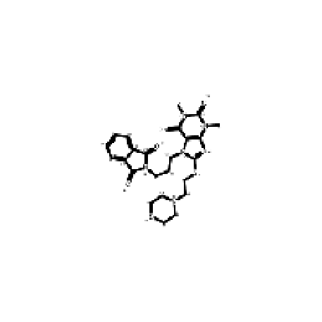 Cn1c(=S)c2c(nc(SCCN3CCOCC3)n2CCCN2C(=O)c3ccccc3C2=O)n(C)c1=O